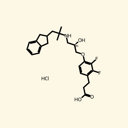 CC(C)(CC1Cc2ccccc2C1)NC[C@@H](O)COc1ccc(CCC(=O)O)c(F)c1F.Cl